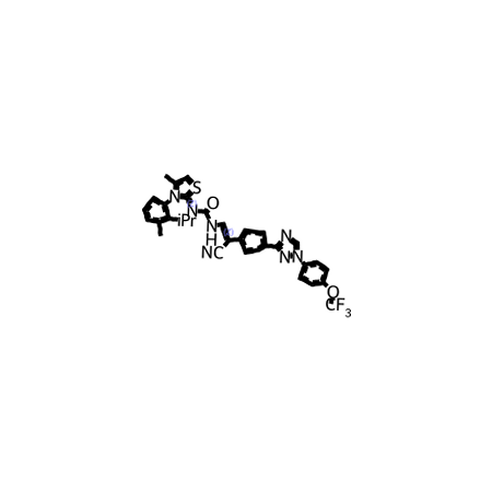 Cc1cccc(-n2c(C)cs/c2=N\C(=O)N/C=C(\C#N)c2ccc(-c3ncn(-c4ccc(OC(F)(F)F)cc4)n3)cc2)c1C(C)C